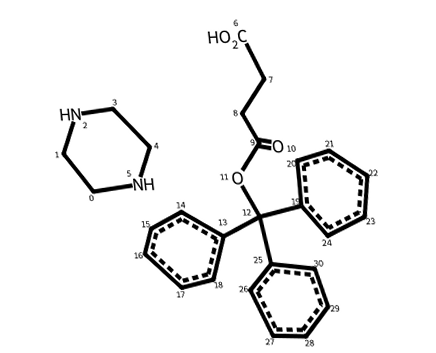 C1CNCCN1.O=C(O)CCC(=O)OC(c1ccccc1)(c1ccccc1)c1ccccc1